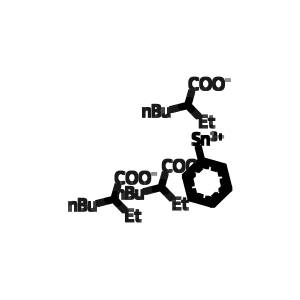 CCCCC(CC)C(=O)[O-].CCCCC(CC)C(=O)[O-].CCCCC(CC)C(=O)[O-].[Sn+3][c]1ccccc1